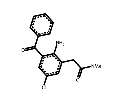 CNC(=O)Cc1cc(Cl)cc(C(=O)c2ccccc2)c1N